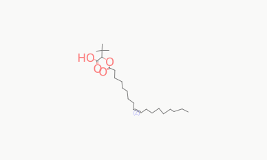 CCCCCCCC/C=C\CCCCCCCC(=O)OC(C(=O)O)C(C)(C)C